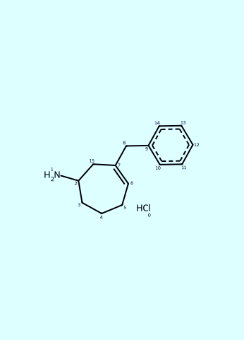 Cl.NC1CCCC=C(Cc2ccccc2)C1